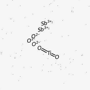 [O-2].[O-2].[O-2].[O]=[Ti]=[O].[Sb+3].[Sb+3]